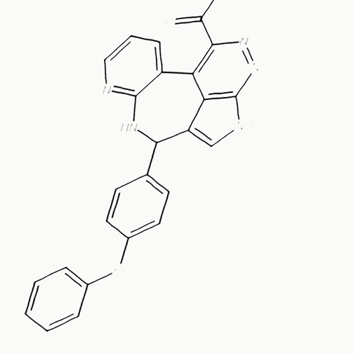 NC(=O)c1nnc2[nH]cc3c2c1-c1cccnc1NC3c1ccc(Oc2ccccc2)cc1